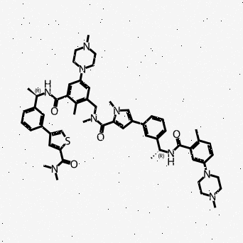 Cc1ccc(N2CCN(C)CC2)cc1C(=O)N[C@H](C)c1cccc(-c2cc(C(=O)N(C)Cc3cc(N4CCN(C)CC4)cc(C(=O)N[C@H](C)c4cccc(-c5csc(C(=O)N(C)C)c5)c4)c3C)n(C)c2)c1